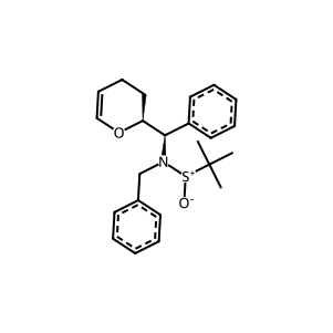 CC(C)(C)[S+]([O-])N(Cc1ccccc1)[C@H](c1ccccc1)[C@@H]1CCC=CO1